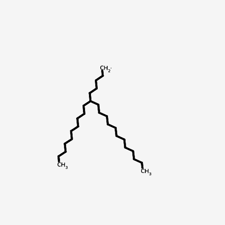 [CH2]CCCCC(CCCCCCCCCC)CCCCCCCCCCCC